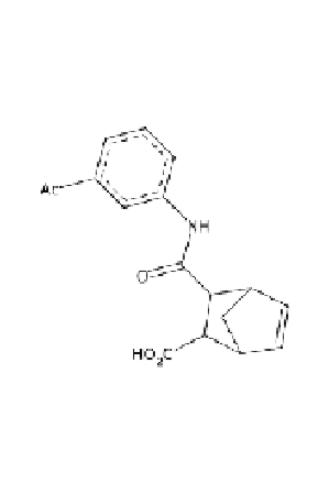 CC(=O)c1cccc(NC(=O)C2C3C=CC(C3)C2C(=O)O)c1